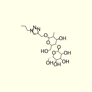 CCCn1cc(CO[C@@H]2OC(CO)[C@@H](O[C@@H]3O[C@@H](CO)[C@H](O)C(O)C3O)[C@H](O)C2C)nn1